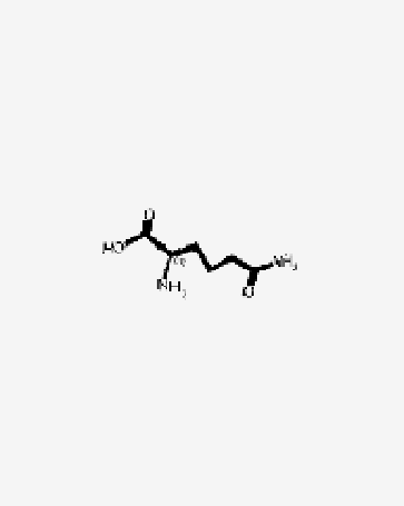 NC(=O)CCC[C@@H](N)C(=O)O